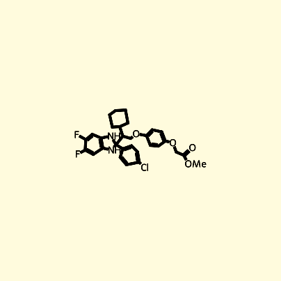 COC(=O)COc1ccc(OCC(C2CCCCC2)C2(c3ccc(Cl)cc3)Nc3cc(F)c(F)cc3N2)cc1